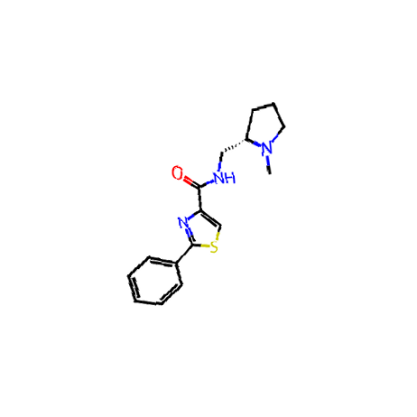 CN1CCC[C@H]1CNC(=O)c1csc(-c2ccccc2)n1